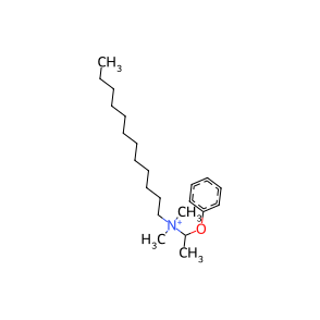 CCCCCCCCCCCC[N+](C)(C)C(C)Oc1ccccc1